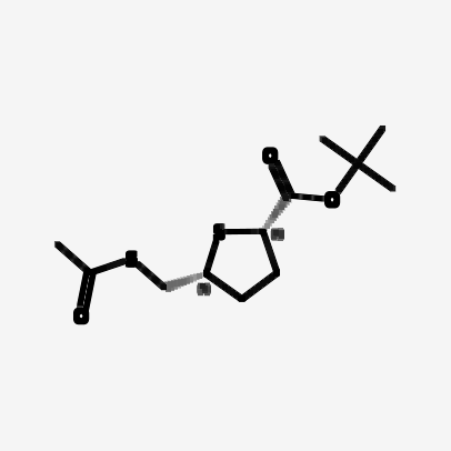 CC(=O)SC[C@H]1CC[C@@H](C(=O)OC(C)(C)C)S1